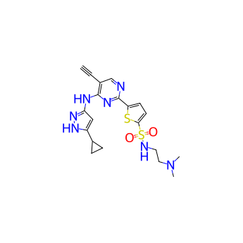 C#Cc1cnc(-c2ccc(S(=O)(=O)NCCN(C)C)s2)nc1Nc1cc(C2CC2)[nH]n1